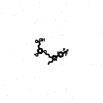 CCCc1nn(-c2ccc(C(F)(F)F)cn2)cc1CCCOc1cc(CCC(=O)O)cc(OC)c1